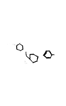 CCCCCCCCc1ccc([C@H]2CC[C@@](C#N)(CC[C@H]3CC[C@H](CCCCCCCC)CC3)CC2)cc1